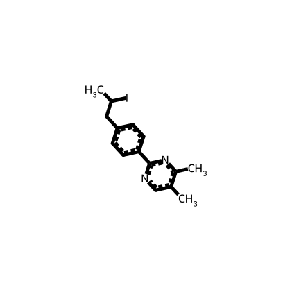 Cc1cnc(-c2ccc(CC(C)I)cc2)nc1C